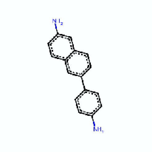 Nc1ccc(-c2ccc3cc(N)ccc3c2)cc1